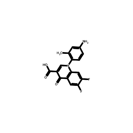 Cc1cc(N)ccc1-n1cc(C(=O)O)c(=O)c2cc(F)c(F)cc21